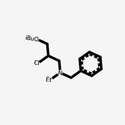 CCN(Cc1ccccc1)CC(Cl)COCC(C)C